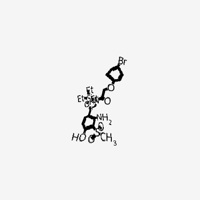 CC[Si](CC)(CC)O[C@@H](CNC(=O)COc1ccc(Br)cc1)c1ccc(O)c(S(C)(=O)=O)c1N